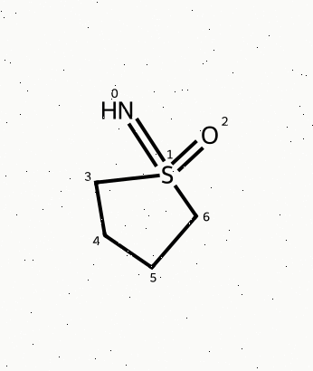 N=S1(=O)CCCC1